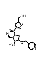 CC(C)(C)C1C(OCc2ccncc2)=NN2C(c3cc(CO)on3)=NN=CC12